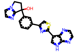 OC1(c2cccc(-c3csc(-c4c[nH]c5nccnc45)n3)c2)CCn2ccnc21